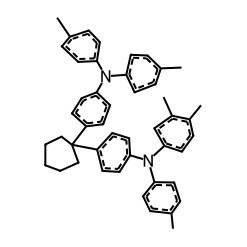 Cc1ccc(N(c2ccc(C)cc2)c2ccc(C3(c4ccc(N(c5ccc(C)cc5)c5ccc(C)c(C)c5)cc4)CCCCC3)cc2)cc1